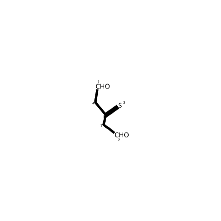 O=CCC(=S)CC=O